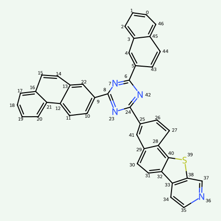 c1ccc2cc(-c3nc(-c4ccc5c(ccc6ccccc65)c4)nc(-c4ccc5c(ccc6c7ccncc7sc56)c4)n3)ccc2c1